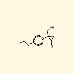 CCOc1ccc(C2(CN)CC2Cl)cc1